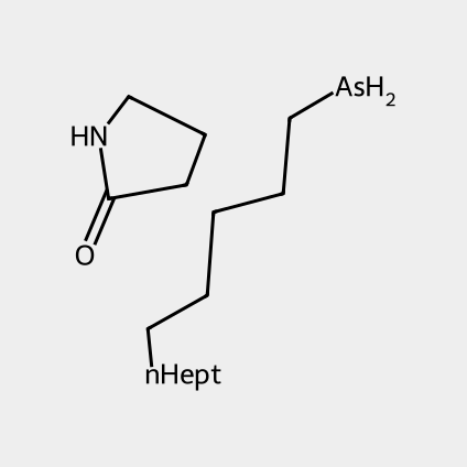 CCCCCCCCCCCC[AsH2].O=C1CCCN1